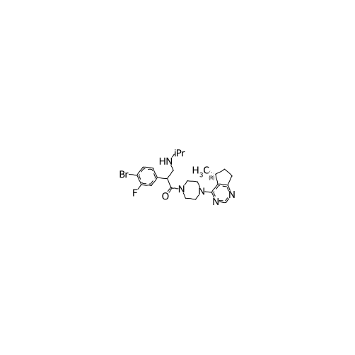 CC(C)NCC(C(=O)N1CCN(c2ncnc3c2[C@H](C)CC3)CC1)c1ccc(Br)c(F)c1